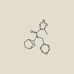 Cc1oncc1C(=O)N(Cc1ccccc1)C1CC2CCC1C2